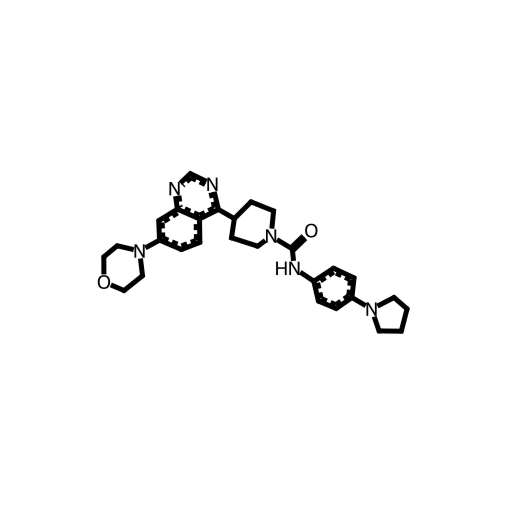 O=C(Nc1ccc(N2CCCC2)cc1)N1CCC(c2ncnc3cc(N4CCOCC4)ccc23)CC1